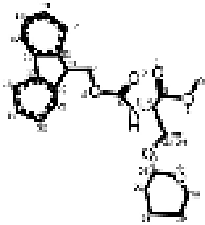 COC(=O)[C@@H](NC(=O)OCC1c2ccccc2-c2ccccc21)[C@@H](C)O[C@H]1CCCCO1